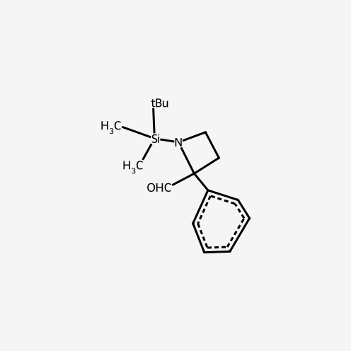 CC(C)(C)[Si](C)(C)N1CCC1(C=O)c1ccccc1